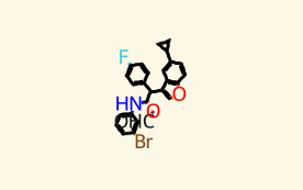 O=COC(Nc1cccc(Br)c1)C(c1ccc(F)cc1)c1coc2ccc(C3CC3)cc12